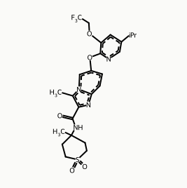 Cc1c(C(=O)NC2(C)CCS(=O)(=O)CC2)nc2ccc(Oc3ncc(C(C)C)cc3OCC(F)(F)F)cn12